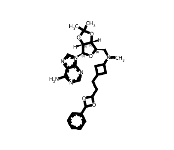 CN(C[C@H]1O[C@@H](n2cnc3c(N)ncnc32)[C@@H]2OC(C)(C)O[C@@H]21)C1CC(CCC2OC(c3ccccc3)O2)C1